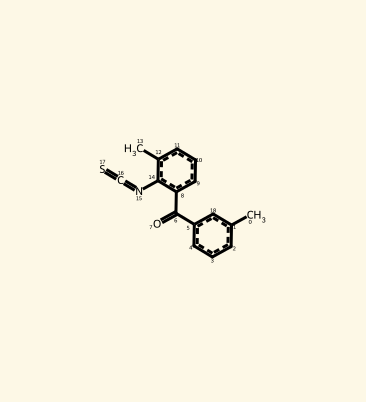 Cc1cccc(C(=O)c2cccc(C)c2N=C=S)c1